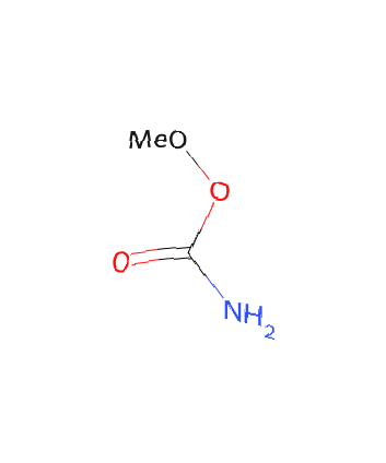 [CH2]OOC(N)=O